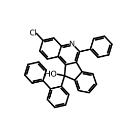 OC1(c2ccccc2-c2ccccc2)c2ccccc2-c2c(-c3ccccc3)nc3cc(Cl)ccc3c21